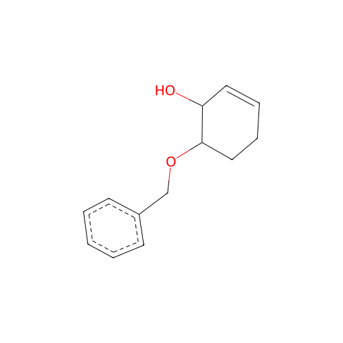 OC1C=CCCC1OCc1ccccc1